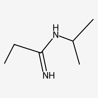 CCC(=N)NC(C)C